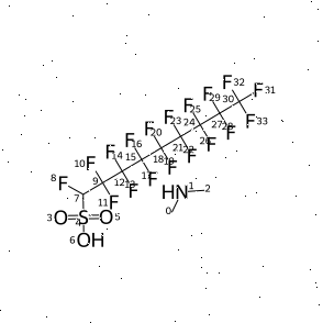 CNC.O=S(=O)(O)C(F)C(F)(F)C(F)(F)C(F)(F)C(F)(F)C(F)(F)C(F)(F)C(F)(F)C(F)(F)F